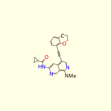 CNc1ncc(C#Cc2cccc3c2OCCC3)c2cc(NC(=O)C3CC3)ncc12